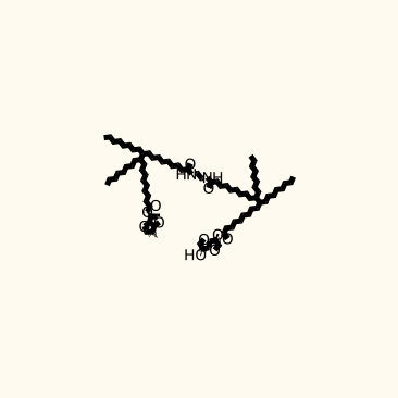 CCCCCCCCC(CCCCCCCCC(=O)NCCNC(=O)CCCCCCCCC(CCCCCCCC)C(CCCCCCCC)CCCCCCCCC(=O)O[C@H]1COC2C1OC[C@H]2O)C(CCCCCCCC)CCCCCCCCC(=O)O[C@H]1COC2C1OC[C@H]2C